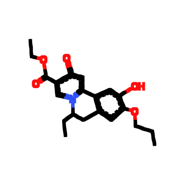 CCCOc1cc2c(cc1O)-c1cc(=O)c(C(=O)OCC)cn1C(CC)C2